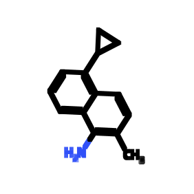 Cc1ccc2c(C3CC3)cccc2c1N